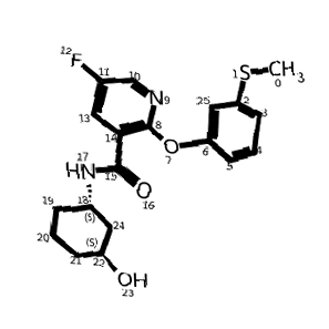 CSc1cccc(Oc2ncc(F)cc2C(=O)N[C@H]2CCC[C@H](O)C2)c1